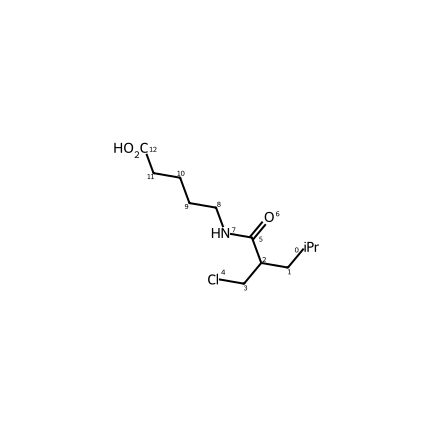 CC(C)CC(CCl)C(=O)NCCCCC(=O)O